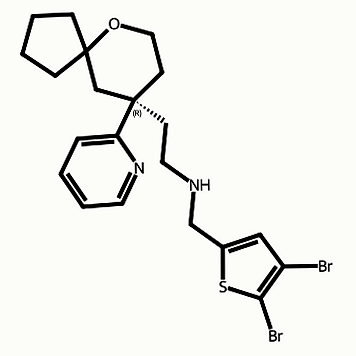 Brc1cc(CNCC[C@@]2(c3ccccn3)CCOC3(CCCC3)C2)sc1Br